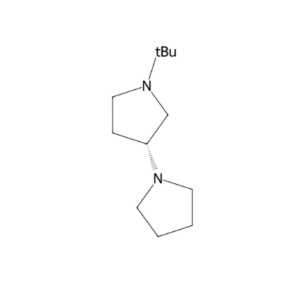 CC(C)(C)N1CC[C@@H](N2CCCC2)C1